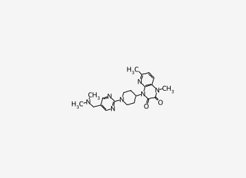 Cc1ccc2c(n1)n(C1CCN(c3ncc(CN(C)C)cn3)CC1)c(=O)c(=O)n2C